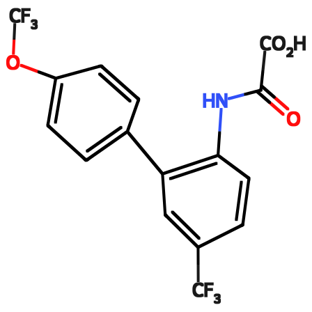 O=C(O)C(=O)Nc1ccc(C(F)(F)F)cc1-c1ccc(OC(F)(F)F)cc1